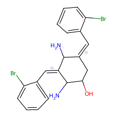 NC1/C(=C\c2ccccc2Br)CC(O)C(N)/C1=C\c1ccccc1Br